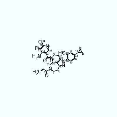 C=CC(=O)N1CCc2nn(-c3ccc(C4CC4)cc3O)c3c2[C@@H](C1)N(C(=O)c1cnc(Cl)c(F)c1N)CC3